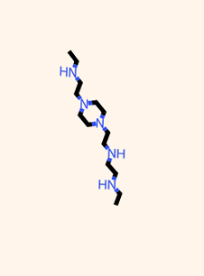 CCNCCNCCN1CCN(CCNCC)CC1